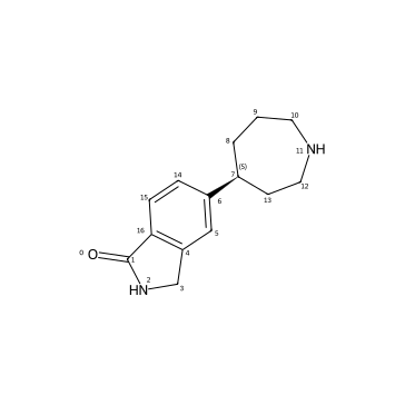 O=C1NCc2cc([C@H]3CCCNCC3)ccc21